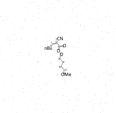 CCCCC=C(C#N)C(=O)OOCCCCOC